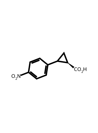 O=C(O)[C@@H]1CC1c1ccc([N+](=O)[O-])cc1